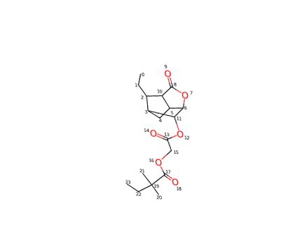 CCC1C2CC3C(OC(=O)C13)C2OC(=O)COC(=O)C(C)(C)CC